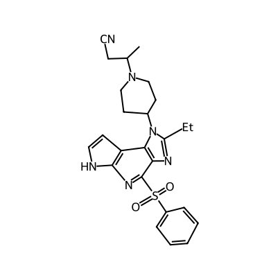 CCc1nc2c(S(=O)(=O)c3ccccc3)nc3[nH]ccc3c2n1C1CCN(C(C)CC#N)CC1